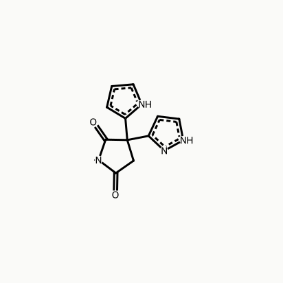 O=C1CC(c2cc[nH]n2)(c2ccc[nH]2)C(=O)[N]1